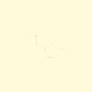 CC1=NC(CC(=O)C(C)(C)C)C(C)S1